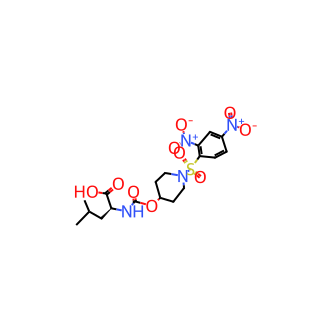 CC(C)C[C@H](NC(=O)OC1CCN(S(=O)(=O)c2ccc([N+](=O)[O-])cc2[N+](=O)[O-])CC1)C(=O)O